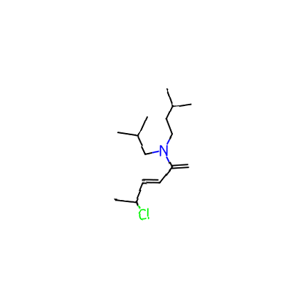 C=C(/C=C/C(C)Cl)N(CCC(C)C)CC(C)C